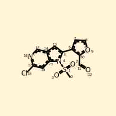 CS(=O)(=O)n1c(-c2ccoc2C=O)cc2cnc(Cl)cc21